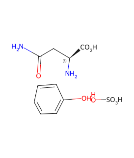 NC(=O)C[C@H](N)C(=O)O.O=S(=O)(O)O.Oc1ccccc1